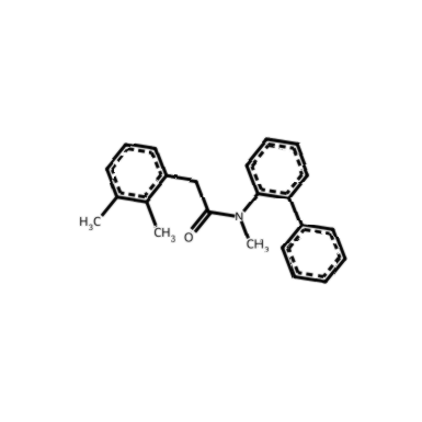 Cc1cccc(CC(=O)N(C)c2ccccc2-c2ccccc2)c1C